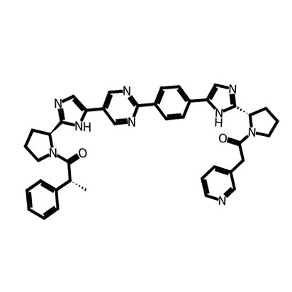 C[C@@H](C(=O)N1CCC[C@H]1c1ncc(-c2cnc(-c3ccc(-c4cnc([C@@H]5CCCN5C(=O)Cc5cccnc5)[nH]4)cc3)nc2)[nH]1)c1ccccc1